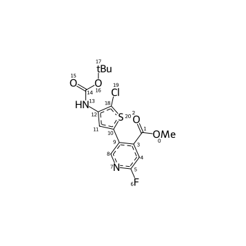 COC(=O)c1cc(F)ncc1-c1cc(NC(=O)OC(C)(C)C)c(Cl)s1